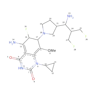 COC1=c2c(c(=O)[nH]c(=O)n2C2CC2)=C(N)C(F)C1N1CCC(C(N)C(CF)CF)C1